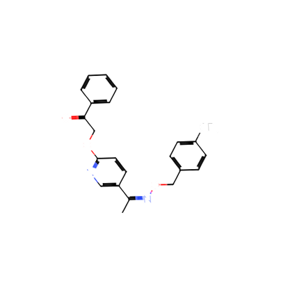 CC(=NOCc1ccc(C(F)(F)F)cc1)c1ccc(OCC(=O)c2ccccc2)nc1